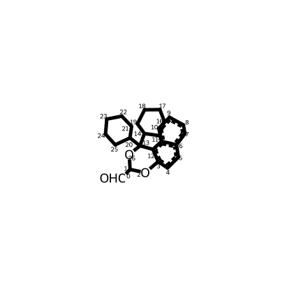 O=CC1Oc2ccc3ccccc3c2C(C2CCCCC2)(C2CCCCC2)O1